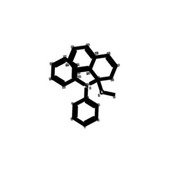 COC1([S+](c2ccccc2)c2ccccc2)CC=Cc2ccccc21